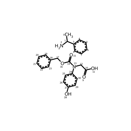 CC(N)c1ccccc1.O=C(O)CN(C(=O)OCc1ccccc1)c1ccc(O)cc1